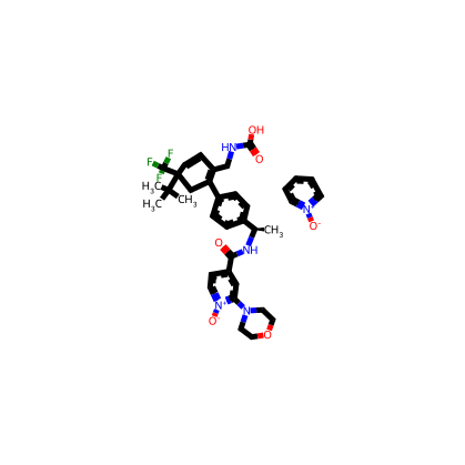 C[C@@H](NC(=O)c1cc[n+]([O-])c(N2CCOCC2)c1)c1ccc(C2=C(CNC(=O)O)C=CC(C(C)(C)C)(C(F)(F)F)C2)cc1.[O-][n+]1ccccc1